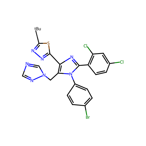 CC(C)(C)c1nnc(-c2nc(-c3ccc(Cl)cc3Cl)n(-c3ccc(Br)cc3)c2Cn2cncn2)s1